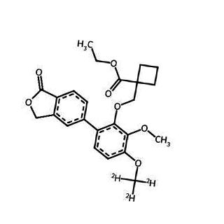 [2H]C([2H])([2H])Oc1ccc(-c2ccc3c(c2)COC3=O)c(OCC2(C(=O)OCC)CCC2)c1OC